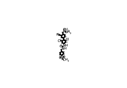 CCS(=O)(=O)c1ccc(CNC(=O)Nc2cc(Cl)c(-c3ccc(CN(C)C)c(C#N)c3)c(Cl)c2)cc1